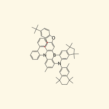 Cc1cc2c3c(c1)N(c1ccccc1-c1ccccc1)c1cc4c(cc1B3c1cc3c(cc1N2c1cc2c(cc1C)C(C)(C)CCC2(C)C)C(C)(C)CC3(C)C)oc1ccc(C(C)(C)C)cc14